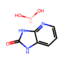 O=c1[nH]c2cccnc2[nH]1.OBO